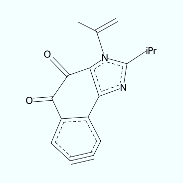 C=C(C)n1c(C(C)C)nc2c1C(=O)C(=O)c1cc#ccc1-2